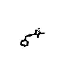 Cc1scc(C#CCc2ccccc2)c1C